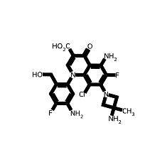 CC1(N)CN(c2c(F)c(N)c3c(=O)c(C(=O)O)cn(-c4cc(N)c(F)cc4CO)c3c2Cl)C1